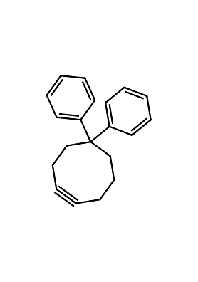 C1#CCCC(c2ccccc2)(c2ccccc2)CCC1